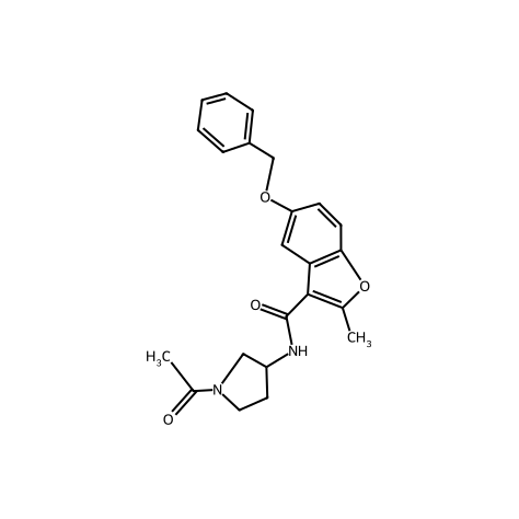 CC(=O)N1CCC(NC(=O)c2c(C)oc3ccc(OCc4ccccc4)cc23)C1